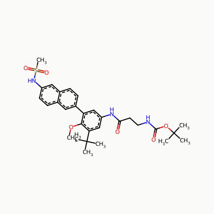 COc1c(-c2ccc3cc(NS(C)(=O)=O)ccc3c2)cc(NC(=O)CCNC(=O)OC(C)(C)C)cc1C(C)(C)C